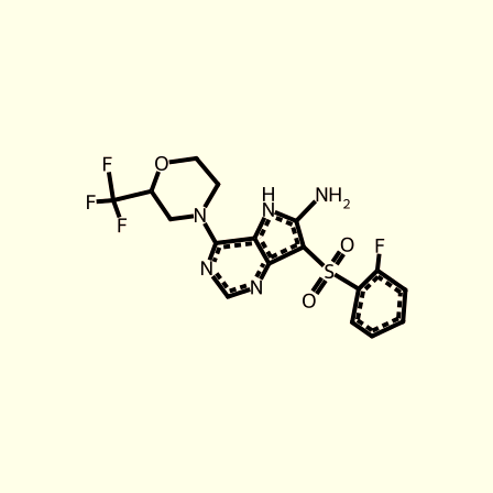 Nc1[nH]c2c(N3CCOC(C(F)(F)F)C3)ncnc2c1S(=O)(=O)c1ccccc1F